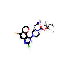 CC(C)(C)OC(=O)N1CCN(c2nc(Cl)nc3cc(Br)c4c(c23)OCCC4)C[C@@H]1CC#N